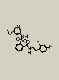 COc1cncc(NS(=O)(=O)c2ccccc2C(=O)NCCc2ccc(F)cc2F)c1